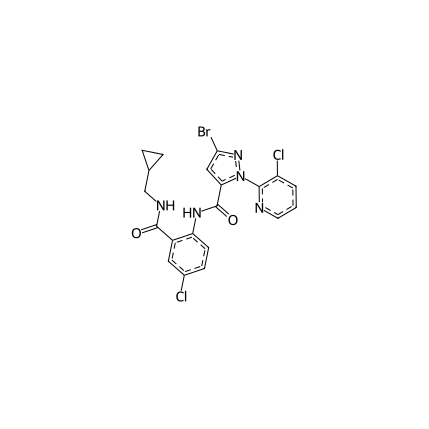 O=C(NCC1CC1)c1cc(Cl)ccc1NC(=O)c1cc(Br)nn1-c1ncccc1Cl